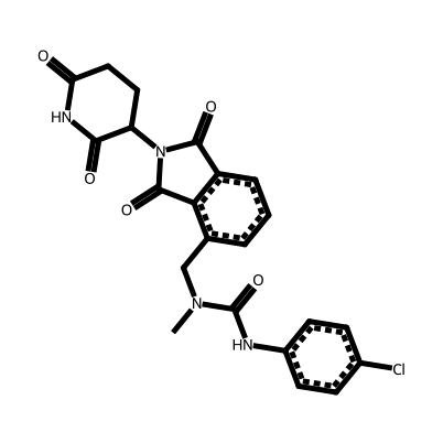 CN(Cc1cccc2c1C(=O)N(C1CCC(=O)NC1=O)C2=O)C(=O)Nc1ccc(Cl)cc1